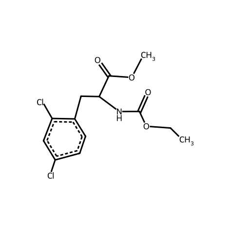 CCOC(=O)NC(Cc1ccc(Cl)cc1Cl)C(=O)OC